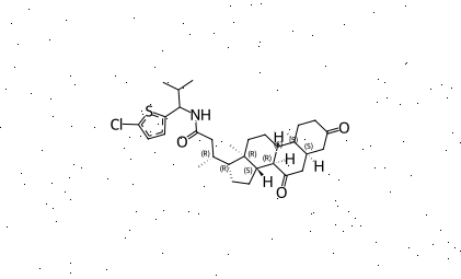 CC(C)C(NC(=O)C[C@@H](C)[C@H]1CC[C@H]2[C@@H]3C(=O)C[C@@H]4CC(=O)CC[C@]4(C)[C@H]3CC[C@]12C)c1ccc(Cl)s1